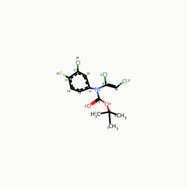 CC(C)(C)OC(=O)N(C(Cl)=CCl)c1ccc(F)c(Cl)c1